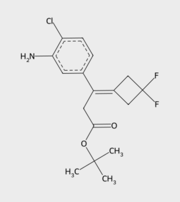 CC(C)(C)OC(=O)CC(=C1CC(F)(F)C1)c1ccc(Cl)c(N)c1